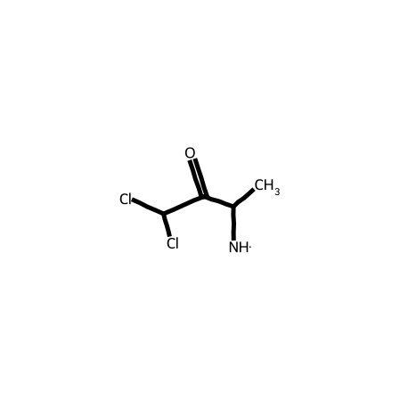 CC([NH])C(=O)C(Cl)Cl